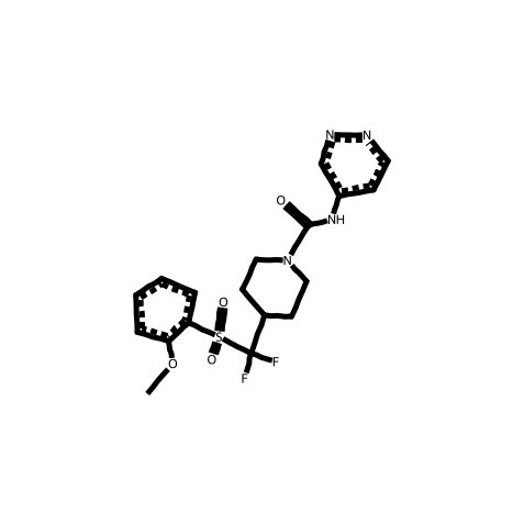 COc1ccccc1S(=O)(=O)C(F)(F)C1CCN(C(=O)Nc2ccnnc2)CC1